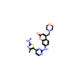 CNc1nc(C)c(-c2ccnc(Nc3ccc4c(CN5CCOCC5)cc(=O)oc4c3)n2)s1